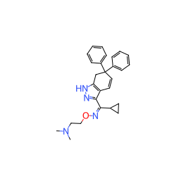 CN(C)CCO/N=C(\c1n[nH]c2c1C=CC(c1ccccc1)(c1ccccc1)C2)C1CC1